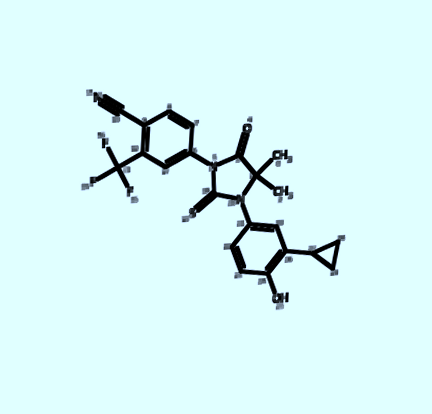 CC1(C)C(=O)N(c2ccc(C#N)c(C(F)(F)F)c2)C(=S)N1c1ccc(O)c(C2CC2)c1